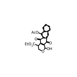 CCOC(=O)C1COC(O)C2=C1C(=O)c1c(cc3ccccc3c1OC(C)=O)C2=O